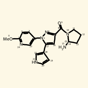 COc1ccc(-n2nc(C(=O)N3CCC[C@H]3N)cc2-c2cc[nH]c2)cn1